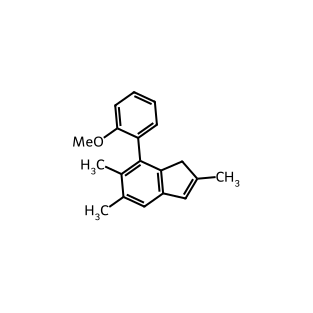 COc1ccccc1-c1c(C)c(C)cc2c1CC(C)=C2